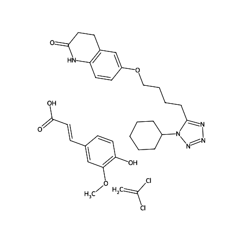 C=C(Cl)Cl.COc1cc(/C=C/C(=O)O)ccc1O.O=C1CCc2cc(OCCCCc3nnnn3C3CCCCC3)ccc2N1